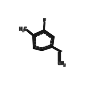 C=[C]c1ccc(C)c(F)c1